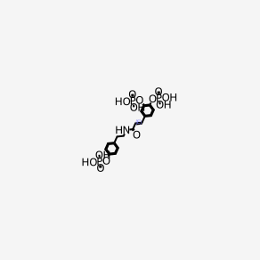 O=C(/C=C/c1ccc(OP(=O)(O)O)c(OP(=O)(O)O)c1)NCCc1ccc(OP(=O)(O)O)cc1